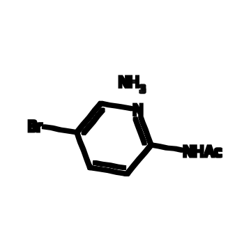 CC(=O)Nc1ccc(Br)cn1.N